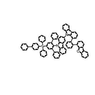 c1ccc(-c2ccc([Si](c3ccccc3)(c3ccccc3)c3cc(-c4ccccc4)c(-n4c5ccccc5c5cc(-n6c7ccccc7c7cccc(-c8ccccc8-c8cccc9c8oc8ccccc89)c76)ccc54)c(-c4ccccc4)c3)cc2)cc1